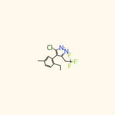 CCc1ccc(C)cc1C1=C(Cl)[N]N=C1CC(F)(F)F